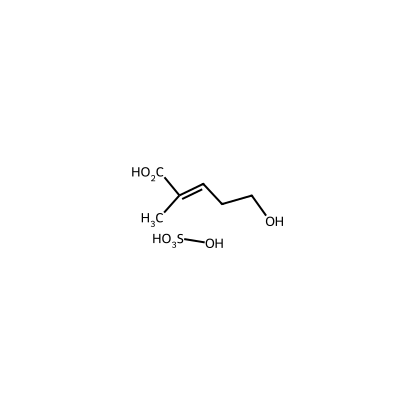 CC(=CCCO)C(=O)O.O=S(=O)(O)O